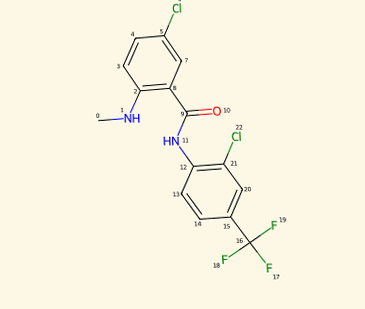 CNc1ccc(Cl)cc1C(=O)Nc1ccc(C(F)(F)F)cc1Cl